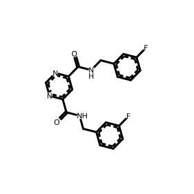 O=C(NCc1cccc(F)c1)c1cc(C(=O)NCc2cccc(F)c2)ncn1